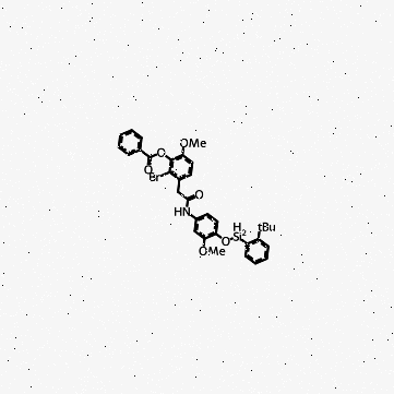 COc1cc(NC(=O)Cc2ccc(OC)c(OC(=O)c3ccccc3)c2Br)ccc1O[SiH2]c1ccccc1C(C)(C)C